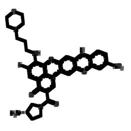 N[C@H]1CCN(C(=O)c2cn3c4cc5oc6cc([N+](=O)[O-])ccc6[nH]c5cc4oc4c(NCCCN5CCOCC5)c(F)cc(c2=O)c43)C1